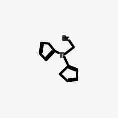 Br[CH2][Ti]([C]1=CC=CC1)[C]1=CC=CC1